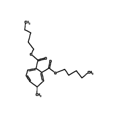 CCCCCOC(=O)C1=CC=CC(C)C=C1C(=O)OCCCCC